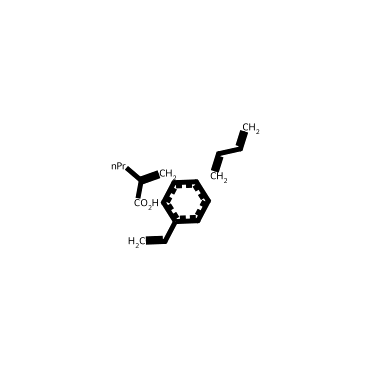 C=C(CCC)C(=O)O.C=CC=C.C=Cc1ccccc1